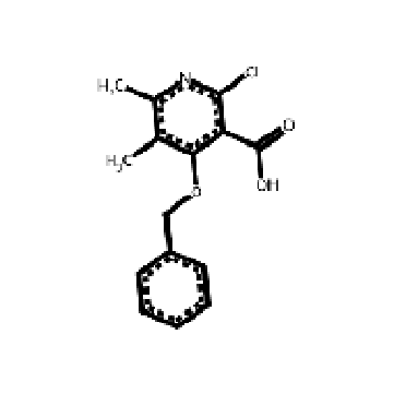 Cc1nc(Cl)c(C(=O)O)c(OCc2ccccc2)c1C